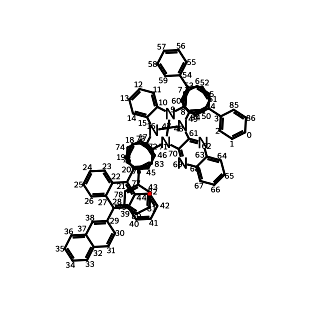 c1ccc(-c2cccc(N3c4ccccc4N(c4ccc(-c5c6ccccc6c(-c6ccc7ccccc7c6)c6ccccc56)cc4)C34N(c3cccc(-c5ccccc5)c3)c3nc5ccccc5nc3N4c3cccc(-c4ccccc4)c3)c2)cc1